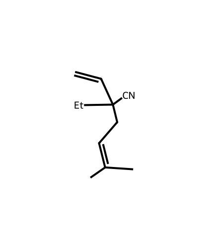 C=CC(C#N)(CC)CC=C(C)C